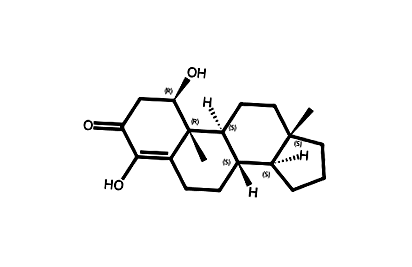 C[C@@]12CCC[C@H]1[C@@H]1CCC3=C(O)C(=O)C[C@@H](O)[C@]3(C)[C@H]1CC2